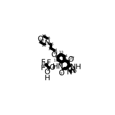 O=C(O)C(F)(F)F.O=c1[nH]c2cc(OCCCN3CCOCC3)ccc2c(=O)c2[nH]nnc12